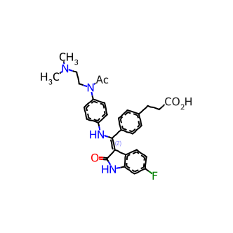 CC(=O)N(CCN(C)C)c1ccc(N/C(=C2\C(=O)Nc3cc(F)ccc32)c2ccc(CCC(=O)O)cc2)cc1